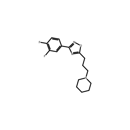 Fc1ccc(-c2noc(CCCN3CCCCC3)n2)cc1F